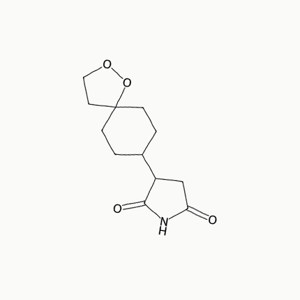 O=C1CC(C2CCC3(CCOO3)CC2)C(=O)N1